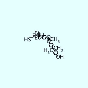 CCC(CC)(NOc1ccc(ON(C)Oc2ccc(C(C)(C)c3ccc(O)cc3)cc2)cc1)SCCS